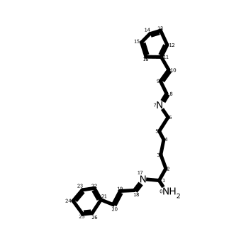 NC(CCCCCN=CC=Cc1ccccc1)N=CC=Cc1ccccc1